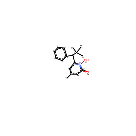 Cc1cc(C(c2ccccc2)C(C)(C)C)n(O)c(=O)c1